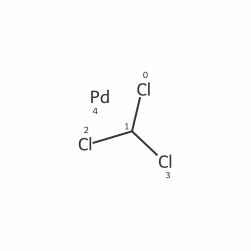 ClC(Cl)Cl.[Pd]